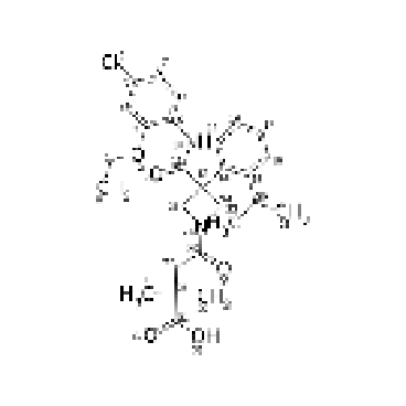 CCOc1cc(Cl)ncc1NC(=O)C1(c2ccccc2C(C)C)CN(C(=O)CC(C)(C)C(=O)O)C1